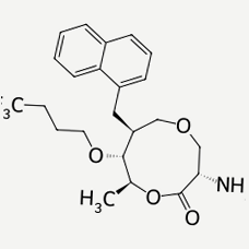 C[C@@H]1OC(=O)[C@@H](N)COC[C@H](Cc2cccc3ccccc23)[C@H]1OCCCC(F)(F)F